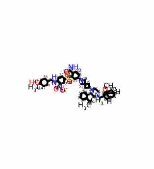 COC12C[C@@H]3C[C@@H](CC(CN4CCN(C5CC6(C5)CN(c5ccc(C(N)=O)c(S(=O)(=O)c7ccc(NCC8CCC(C)(O)CC8)c([N+](=O)[O-])c7)c5)C6)[C@H](c5ccccc5C(C)C)C4)(C3)C1)C2